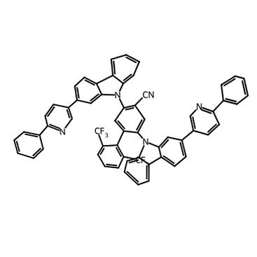 N#Cc1cc(-n2c3ccccc3c3ccc(-c4ccc(-c5ccccc5)nc4)cc32)c(-c2c(C(F)(F)F)cccc2C(F)(F)F)cc1-n1c2ccccc2c2ccc(-c3ccc(-c4ccccc4)nc3)cc21